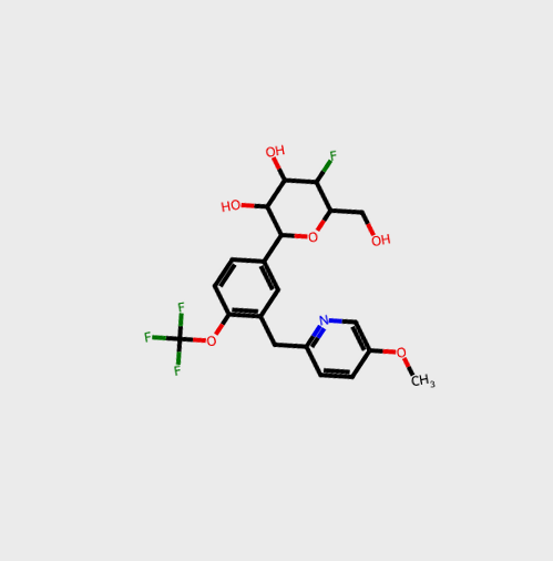 COc1ccc(Cc2cc(C3OC(CO)C(F)C(O)C3O)ccc2OC(F)(F)F)nc1